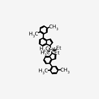 CC[C](CC)=[Hf]([CH3])([CH3])([CH]1C=Cc2c(-c3cc(C)ccc3C)cccc21)[CH]1C=Cc2c(-c3cc(C)ccc3C)cccc21